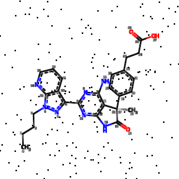 CCCCn1nc(-c2nc(N)c3c(n2)NC(=O)[C@]3(C)c2ccc(CCC(=O)O)cc2)c2cccnc21